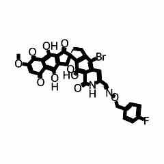 COC1=CC(=O)c2c(O)c3c(c(O)c2C1=O)C(=O)[C@]1(CCc2c1c(O)c1c(=O)[nH]c(C=NOCc4ccc(F)cc4)cc1c2Br)C3=O